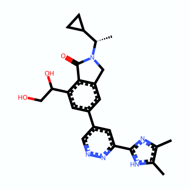 Cc1nc(-c2cc(-c3cc4c(c(C(O)CO)c3)C(=O)N([C@@H](C)C3CC3)C4)cnn2)[nH]c1C